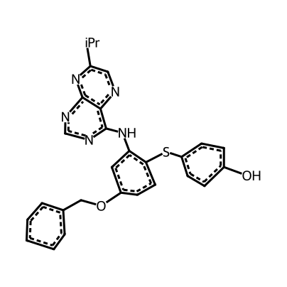 CC(C)c1cnc2c(Nc3cc(OCc4ccccc4)ccc3Sc3ccc(O)cc3)ncnc2n1